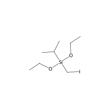 CCO[Si](CI)(OCC)C(C)C